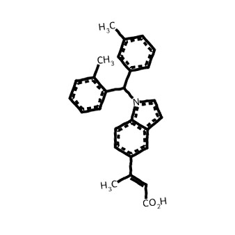 CC(=CC(=O)O)c1ccc2c(ccn2C(c2cccc(C)c2)c2ccccc2C)c1